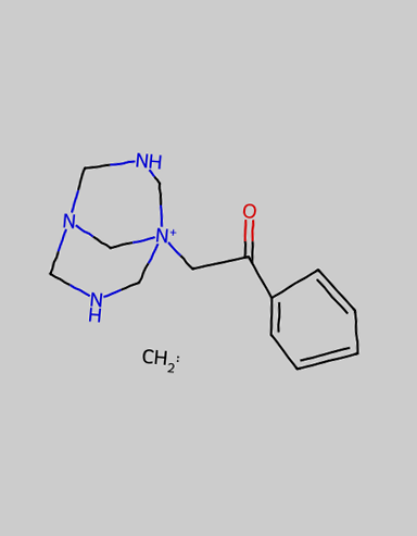 O=C(C[N+]12CNCN(CNC1)C2)c1ccccc1.[CH2]